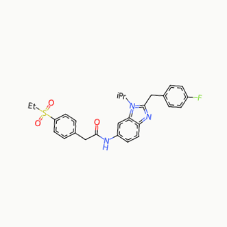 CCS(=O)(=O)c1ccc(CC(=O)Nc2ccc3nc(Cc4ccc(F)cc4)n(C(C)C)c3c2)cc1